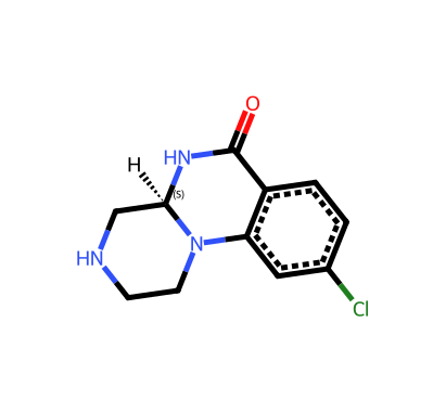 O=C1N[C@@H]2CNCCN2c2cc(Cl)ccc21